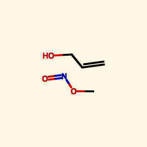 C=CCO.CON=O